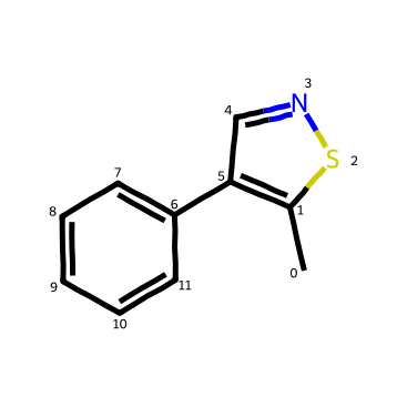 Cc1sncc1-c1ccccc1